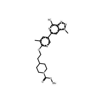 Cc1cc(-c2cc3c(nnn3C)c(C#N)n2)cnc1OCCC1CCN(C(=O)OC(C)(C)C)CC1